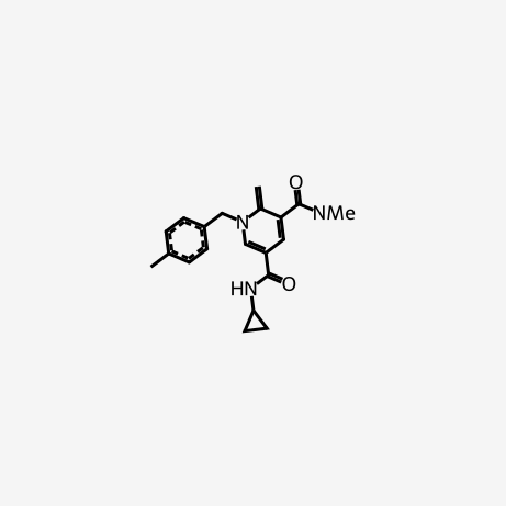 C=C1C(C(=O)NC)=CC(C(=O)NC2CC2)=CN1Cc1ccc(C)cc1